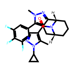 Cc1c(C(=O)N2[C@@H]3CCC[C@H]2c2nn(C)c(-c4cc(F)c(F)c(F)c4)c2C3)cnn1C1CC1